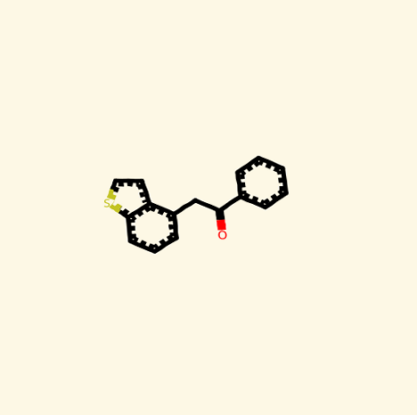 O=C(Cc1cccc2sccc12)c1ccccc1